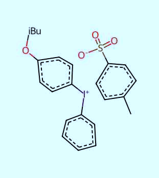 CCC(C)Oc1ccc([I+]c2ccccc2)cc1.Cc1ccc(S(=O)(=O)[O-])cc1